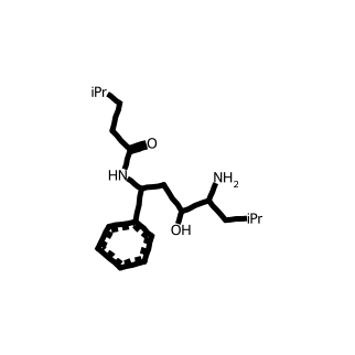 CC(C)CCC(=O)NC(CC(O)C(N)CC(C)C)c1ccccc1